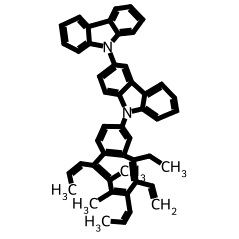 C=C/C1=C(\CC)c2cc(-n3c4ccccc4c4cc(-n5c6ccccc6c6ccccc65)ccc43)ccc2C(/C=C\C)=C(C)/C(C)=C1/C=C\C